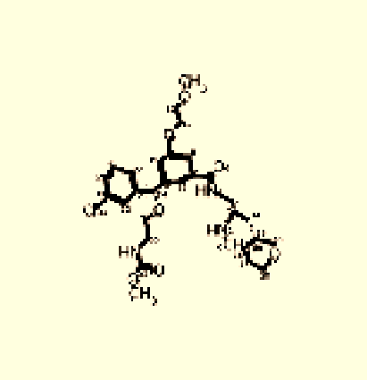 CN[C@H](CNC(=O)c1cc(OCCOC)cc([C@H](OCCNC(=O)OC)c2cccc(Cl)c2)c1)C[C@H]1CCCOC1